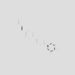 FCC/C=C/[C@H]1CC[C@H](C2CCC(c3cc(F)c(Cl)c(F)c3)CC2)CC1